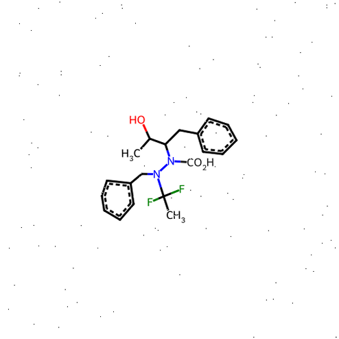 CC(O)C(Cc1ccccc1)N(C(=O)O)N(Cc1ccccc1)C(C)(F)F